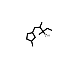 CCC(C)(O)C(C)CC1CCC(C)C1